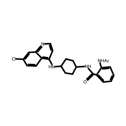 CC(=O)Nc1ccccc1C(=O)NC1CCC(Nc2ccnc3cc(Cl)ccc23)CC1